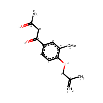 C=C(C)COc1ccc(C(=O)CC(=O)C(C)(C)C)cc1OC